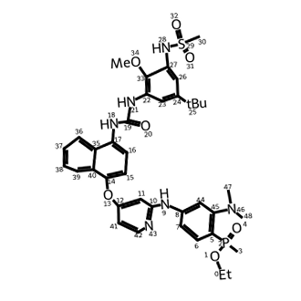 CCOP(C)(=O)c1ccc(Nc2cc(Oc3ccc(NC(=O)Nc4cc(C(C)(C)C)cc(NS(C)(=O)=O)c4OC)c4ccccc34)ccn2)cc1N(C)C